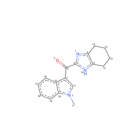 Cn1cc(C(=O)c2nc3c([nH]2)CCCC3)c2ccccc21